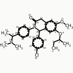 CCC(C)Oc1cc2c(cc1OC)CC(=O)N(c1ccc(C(C)N(C)C)cc1)C2c1ccc(Cl)cc1